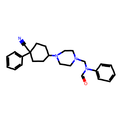 N#CC1(c2ccccc2)CCC(N2CCN(CN(C=O)c3ccccc3)CC2)CC1